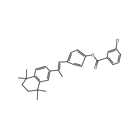 CC(=Cc1ccc(OC(=O)c2cccc(Cl)c2)cc1)c1ccc2c(c1)C(C)(C)CCC2(C)C